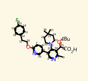 Cc1ncc(-c2ccc(OCCc3ccc(F)cc3)nc2)c(N2CCC(C)(C)CC2)c1C(OC(C)(C)C)C(=O)O